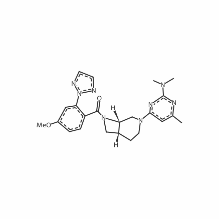 COc1ccc(C(=O)N2C[C@H]3CCN(c4cc(C)nc(N(C)C)n4)C[C@H]32)c(-n2nccn2)c1